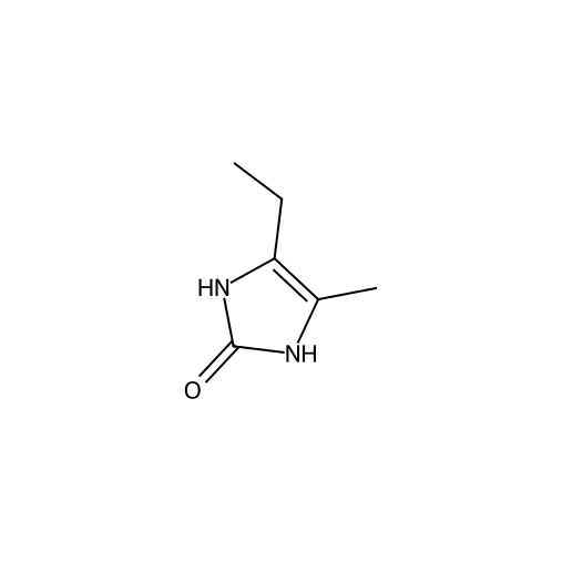 CCc1[nH]c(=O)[nH]c1C